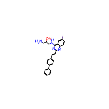 NCC(O)CNc1nc(/C=C/c2ccc(-c3ccccc3)cc2)nc2ccc(I)cc12